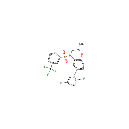 C[C@H]1CN(S(=O)(=O)c2cccc(C(F)(F)F)c2)c2cc(-c3cc(F)ccc3F)ccc2O1